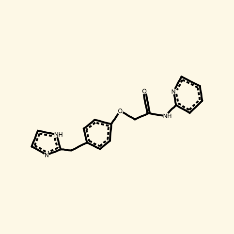 O=C(COc1ccc(Cc2ncc[nH]2)cc1)Nc1ccccn1